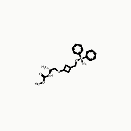 C[C@H](COC1CC(CO[Si](c2ccccc2)(c2ccccc2)C(C)(C)C)C1)NC(=O)OC(C)(C)C